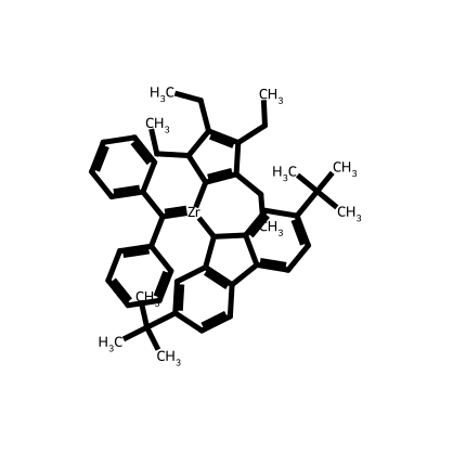 CCC1=C(CC)C(CC)[C]([Zr](=[C](c2ccccc2)c2ccccc2)[CH]2c3cc(C(C)(C)C)ccc3-c3ccc(C(C)(C)C)cc32)=C1CC